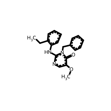 CCc1ccccc1Nc1ncc(OC)c(=O)n1Cc1ccccc1